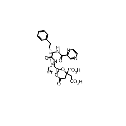 CC(C)C[C@H](NC(=O)[C@H](CCc1ccccc1)NC(=O)c1cnccn1)B1OC(=O)CC(CC(=O)O)(C(=O)O)O1